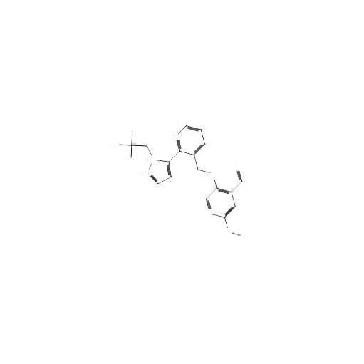 COc1cc(C=O)c(OCc2cccnc2-c2ccnn2CC(F)(F)F)cn1